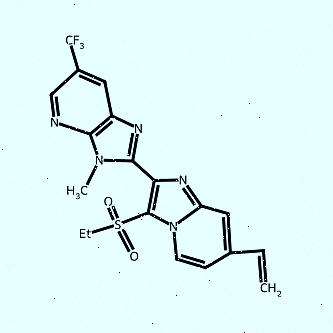 C=Cc1ccn2c(S(=O)(=O)CC)c(-c3nc4cc(C(F)(F)F)cnc4n3C)nc2c1